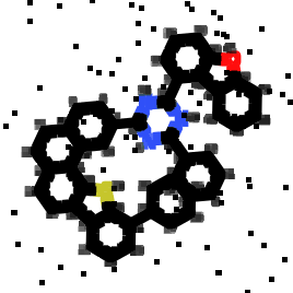 c1ccc(-c2nc(-c3ccc4ccc5ccc6c7cccc(-c8ccccc8)c7sc6c5c4c3)nc(-c3cccc4oc5ccccc5c34)n2)cc1